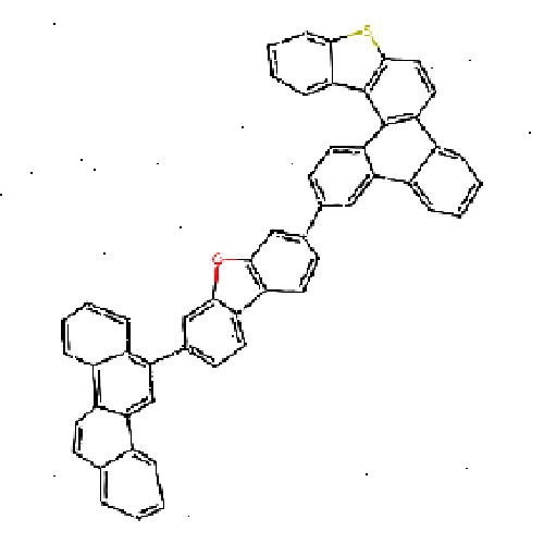 c1ccc2c(c1)ccc1c3ccccc3c(-c3ccc4c(c3)oc3cc(-c5ccc6c(c5)c5ccccc5c5ccc7sc8ccccc8c7c56)ccc34)cc21